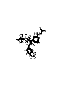 Cc1noc(NS(=O)(=O)c2c(Cc3ccc4c(c3)OCO4)sc3ccc(NCC(C)C)cc23)c1Cl